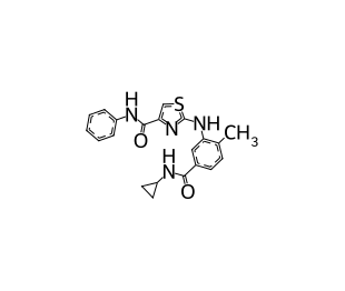 Cc1ccc(C(=O)NC2CC2)cc1Nc1nc(C(=O)Nc2ccccc2)cs1